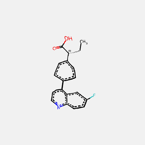 CC[C@@H](C(=O)O)c1ccc(-c2ccnc3ccc(F)cc23)cc1